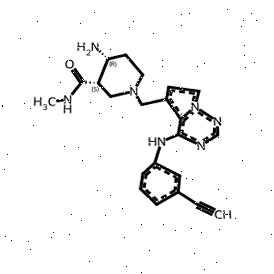 C#Cc1cccc(Nc2ncnn3ccc(CN4CC[C@@H](N)[C@@H](C(=O)NC)C4)c23)c1